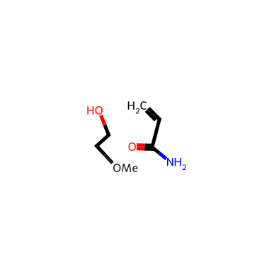 C=CC(N)=O.COCCO